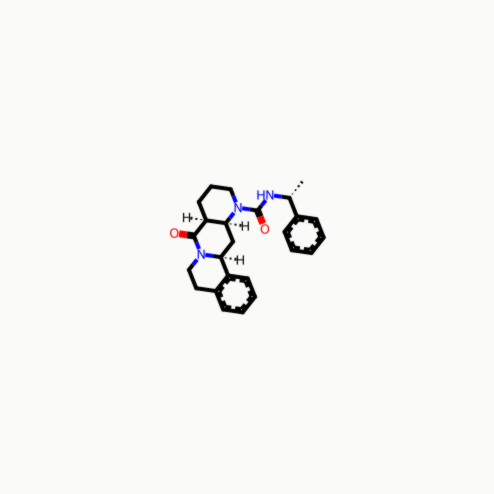 C[C@@H](NC(=O)N1CCC[C@@H]2C(=O)N3CCc4ccccc4[C@@H]3C[C@@H]21)c1ccccc1